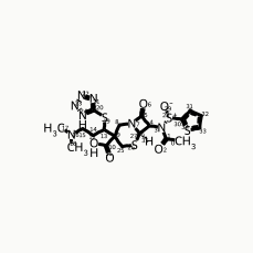 CC(=O)N(C1C(=O)N2CC(C(=O)O)(C(CCN(C)C)Sc3nnn[nH]3)CS[C@H]12)[S+]([O-])c1cccs1